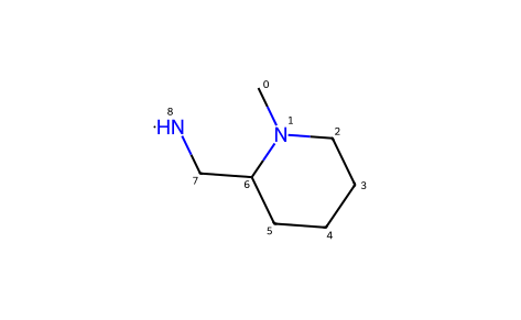 CN1CCCCC1C[NH]